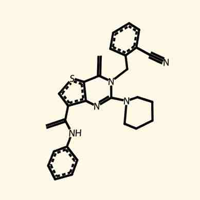 C=C(Nc1ccccc1)c1csc2c1N=C(N1CCCCC1)N(Cc1ccccc1C#N)C2=C